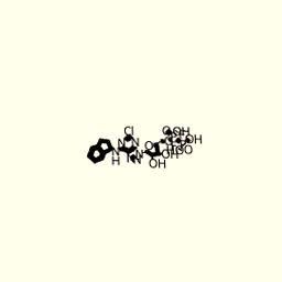 O=P(O)(O)C(F)(F)P(=O)(O)OC[C@H]1O[C@@H](n2nnc3c(N[C@@H]4CCc5ccccc54)nc(Cl)nc32)[C@H](O)[C@@H]1O